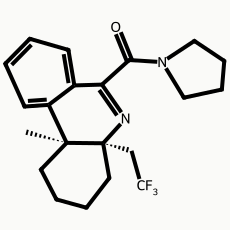 C[C@@]12CCCC[C@]1(CC(F)(F)F)N=C(C(=O)N1CCCC1)c1ccccc12